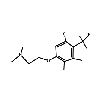 Cc1c(OCCN(C)C)cc(Cl)c(C(F)(F)F)c1C